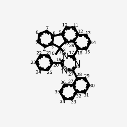 CC1(C)c2ccccc2-c2ccc3cccc(-c4nc(-c5ccccc5)nc(-c5cccc6ccccc56)n4)c3c21